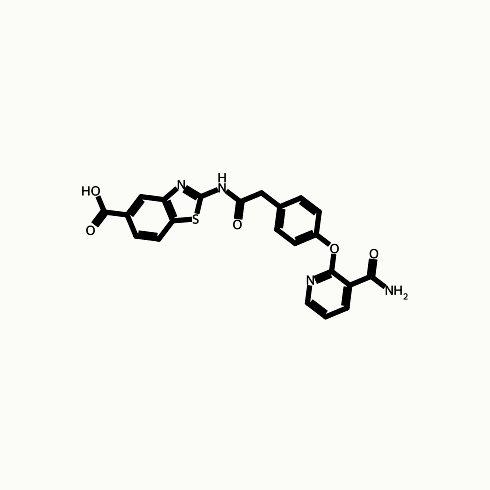 NC(=O)c1cccnc1Oc1ccc(CC(=O)Nc2nc3cc(C(=O)O)ccc3s2)cc1